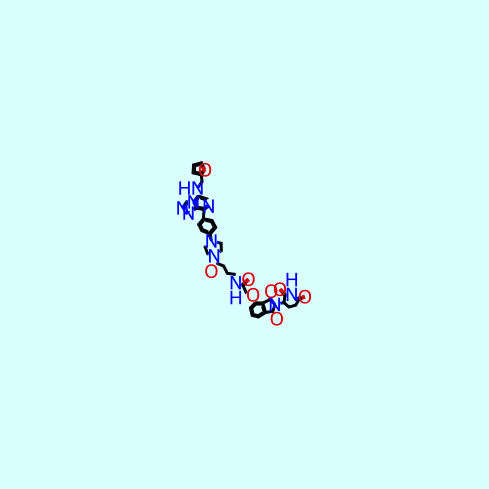 O=C(COc1cccc2c1C(=O)N(C1CCC(=O)NC1=O)C2=O)NCCCC(=O)N1CCN(c2ccc(-c3ncc(NCc4ccco4)n4cnnc34)cc2)CC1